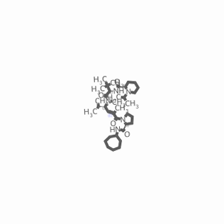 C/C(=C\[C@H](C(C)C)N(C)C(=O)[C@@H](NC(=O)[C@H]1CCCCN1C(C)C)C(C)(C)C)C(=O)N1CCC[C@H]1C(=O)NC1CCCCCC1